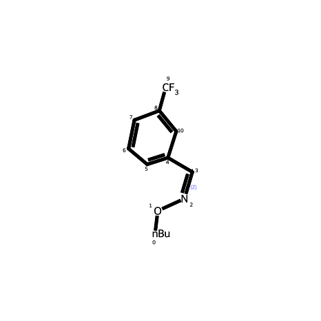 CCCCO/N=[C]\c1cccc(C(F)(F)F)c1